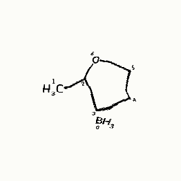 B.CC1CCCO1